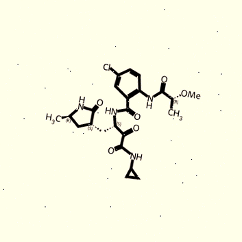 CO[C@H](C)C(=O)Nc1ccc(Cl)cc1C(=O)N[C@@H](C[C@@H]1C[C@@H](C)NC1=O)C(=O)C(=O)NC1CC1